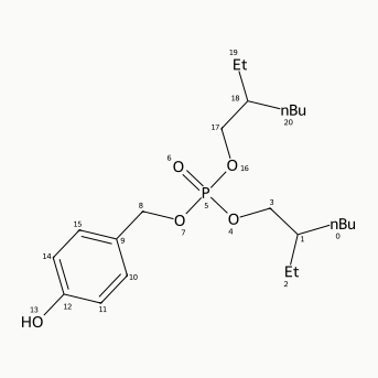 CCCCC(CC)COP(=O)(OCc1ccc(O)cc1)OCC(CC)CCCC